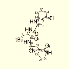 CC(C)(C)CC(NC(=O)c1cc2c(Cl)cccc2[nH]1)C(=O)NC(C#N)CC1CCCNC1=O